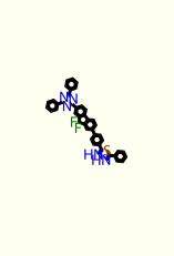 N=C(SC(=N)c1ccc(-c2ccc3c(c2)C(F)(F)c2cc(-c4nc(-c5ccccc5)nc(-c5ccccc5)n4)ccc2-3)cc1)c1ccccc1